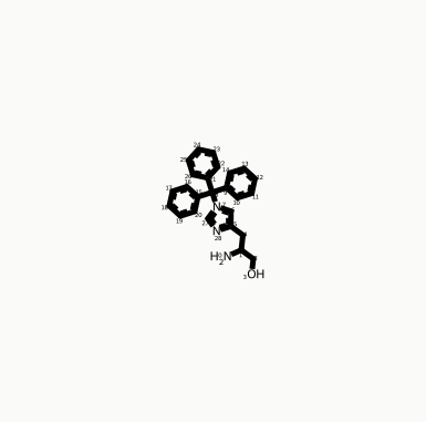 NC(CO)Cc1cn(C(c2ccccc2)(c2ccccc2)c2ccccc2)cn1